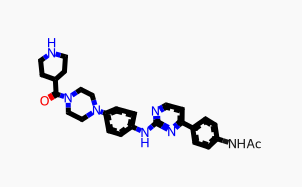 CC(=O)Nc1ccc(-c2ccnc(Nc3ccc(N4CCN(C(=O)C5CCNCC5)CC4)cc3)n2)cc1